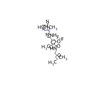 C/C=C\C(=C/c1ncc(-c2cc(OC)c(C(=O)NCCC(CCC)OC)c(OC(F)F)c2)[nH]1)C(C)(C)C#N